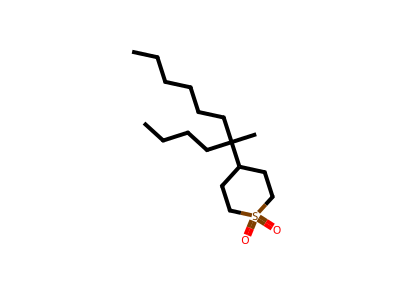 CCCCCCC(C)(CCCC)C1CCS(=O)(=O)CC1